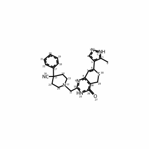 Cc1[nH]ncc1C1=Cc2nc(CN3CCC(C#N)(c4ccccc4)CC3)[nH]c(=O)c2CS1